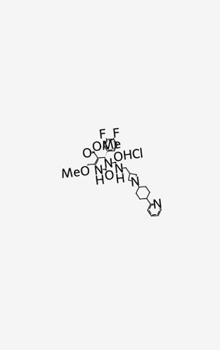 COCC1=C(C(=O)OC)[C@H](c2ccc(F)c(F)c2)N(C(=O)NCC2CN(C3CCC(c4ccccn4)CC3)C2)C(=O)N1.Cl